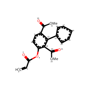 C=CC(=O)Oc1ccc(C(=O)OC)c(-c2ccccc2)c1C(=O)OC